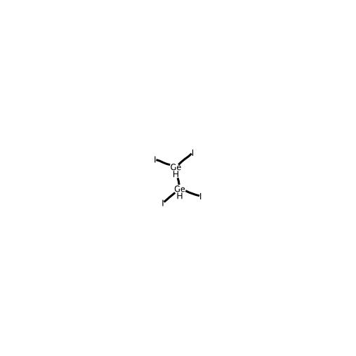 [I][GeH]([I])[GeH]([I])[I]